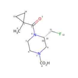 CC1(C(=O)N2CCN(C(=O)O)C[C@H]2CF)CC1